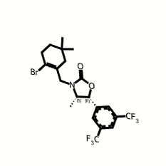 C[C@H]1[C@@H](c2cc(C(F)(F)F)cc(C(F)(F)F)c2)OC(=O)N1CC1=C(Br)CCC(C)(C)C1